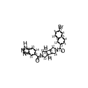 O=C(c1ccc2cc(Br)ccc2c1)N1CC2C(C1)[C@@H]1CN(C(=O)c3ccc4[nH]nnc4c3)C[C@H]21